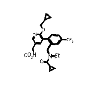 CCN(Cc1cc(C(F)(F)F)ccc1-c1cc(CC(=O)O)cnc1OCC1CC1)C(=O)C1CC1